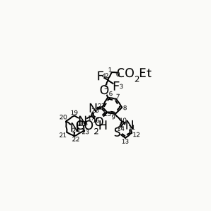 CCOC(=O)CC(F)(F)Oc1ccc(-c2nccs2)c2oc(N3CC4CC(C3)N4C(=O)O)nc12